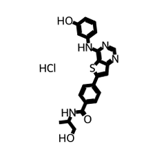 CC(CO)NC(=O)c1ccc(-c2cc3ncnc(Nc4cccc(O)c4)c3s2)cc1.Cl